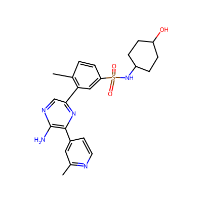 Cc1cc(-c2nc(-c3cc(S(=O)(=O)NC4CCC(O)CC4)ccc3C)cnc2N)ccn1